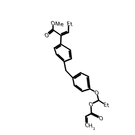 C=CC(=O)OC(CC)Oc1ccc(Cc2ccc(C(=CCC)C(=O)OC)cc2)cc1